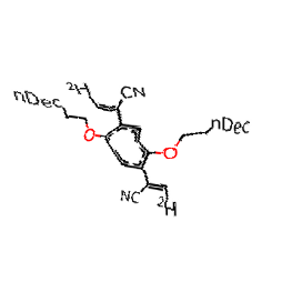 [2H]C=C(C#N)c1cc(OCCCCCCCCCCCC)c(C(C#N)=C[2H])cc1OCCCCCCCCCCCC